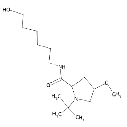 COC1CC(C(=O)NCCCCCCO)N(C(C)(C)C)C1